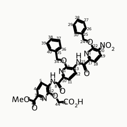 COC(=O)c1ccc(NC(=O)c2ccc(NC(=O)c3ccc([N+](=O)[O-])c(OCc4ccccc4)n3)c(OCc3ccccc3)n2)c(OCC(=O)O)n1